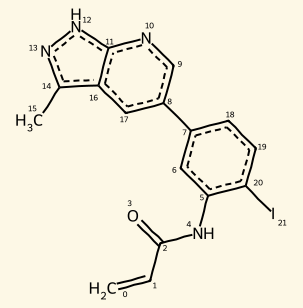 C=CC(=O)Nc1cc(-c2cnc3[nH]nc(C)c3c2)ccc1I